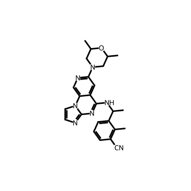 Cc1c(C#N)cccc1C(C)Nc1nc2nccn2c2cnc(N3CC(C)OC(C)C3)cc12